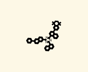 CC1(C)CCC(C)(C)c2cc(-c3ccc(-c4nc(-c5ccc6cc(-c7ccccc7)ccc6c5)nc(-c5cccc6ccccc56)n4)c4ccccc34)ccc21